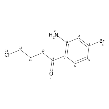 Nc1cc(Br)ccc1C(=O)CCCCl